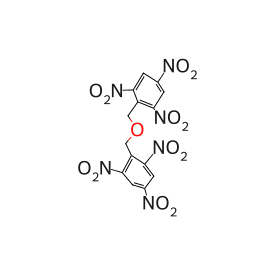 O=[N+]([O-])c1cc([N+](=O)[O-])c(COCc2c([N+](=O)[O-])cc([N+](=O)[O-])cc2[N+](=O)[O-])c([N+](=O)[O-])c1